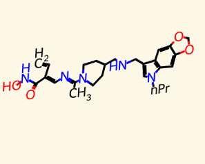 C=C/C(=C\N=C(/C)N1CCC(CNCc2cn(CCC)c3cc4c(cc23)OCO4)CC1)C(=O)NO